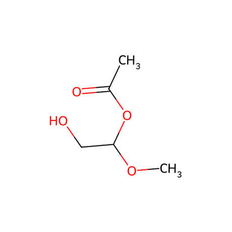 COC(CO)OC(C)=O